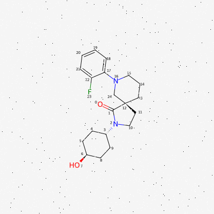 O=C1N([C@H]2CC[C@H](O)CC2)CC[C@@]12CCCN(c1ccccc1F)C2